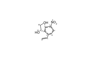 C=Cc1ccc([N+](=O)[O-])cc1.OCCO